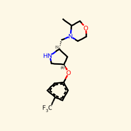 CC1COCCN1C[C@@H]1C[C@@H](Oc2ccc(C(F)(F)F)cc2)CN1